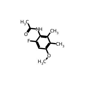 COc1cc(F)c(NC(C)=O)c(C)c1C